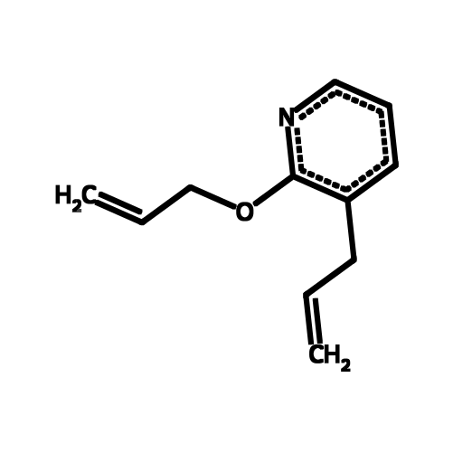 C=CCOc1ncccc1CC=C